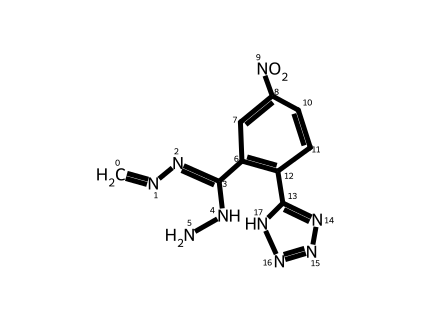 C=N/N=C(\NN)c1cc([N+](=O)[O-])ccc1-c1nnn[nH]1